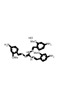 COc1cc(N)ccc1/C=N/N=C(N/N=C/c1ccc(N)cc1OC)N/N=C/c1ccc(N)cc1OC.Cl